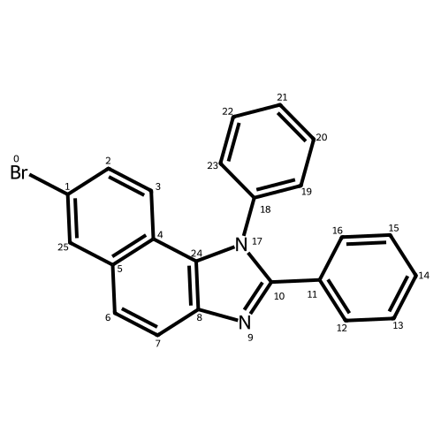 Brc1ccc2c(ccc3nc(-c4ccccc4)n(-c4ccccc4)c32)c1